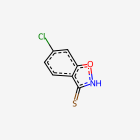 S=c1[nH]oc2cc(Cl)ccc12